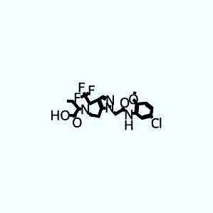 CCC(C(=O)O)N1CCc2c(cnn2CC(=O)Nc2cc(Cl)ccc2OC)C1C(F)(F)F